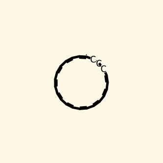 [C]1=C/C=C\C=C/C=C\C=C/C=C\C=C/C=C\C=C/C=C\CCC\1